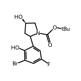 CC(C)(C)OC(=O)N1C[C@H](O)CC1c1cc(F)cc(Br)c1O